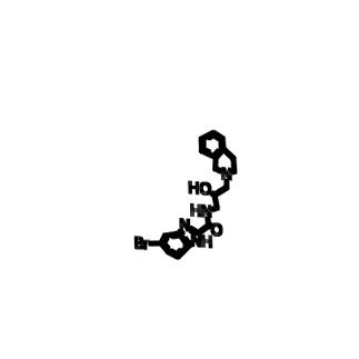 O=C(NCC(O)CN1CCc2ccccc2C1)c1nc2cc(Br)ccc2[nH]1